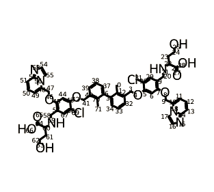 Cc1c(COc2cc(OCc3cccc4nccn34)c(CNC(CCO)C(=O)O)cc2Cl)cccc1-c1cccc(COc2cc(OCc3cccc4nccn34)c(CNC(CCO)C(=O)O)cc2Cl)c1C